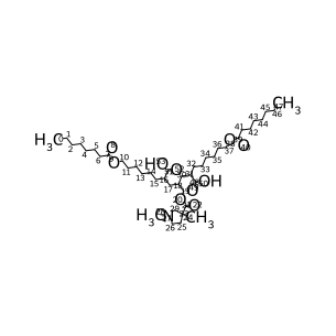 CCCCCCCC(=O)OCCCCCCC(CC(COC(=O)C1(C)CCN(C)C1)CC(CCCCCCOC(=O)CCCCCCC)C(=O)O)C(=O)O